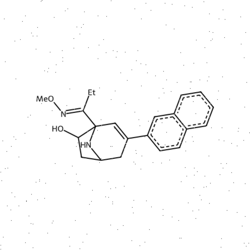 CCC(=NOC)C12C=C(c3ccc4ccccc4c3)CC(CC1O)N2